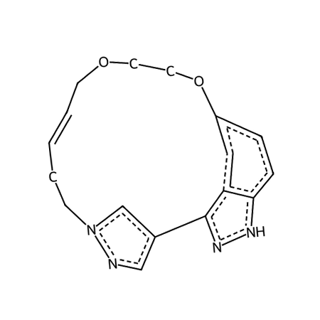 C1=C/COCCOc2ccc3[nH]nc(c3c2)-c2cnn(c2)CC/1